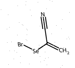 C=C(C#N)[Se]Br